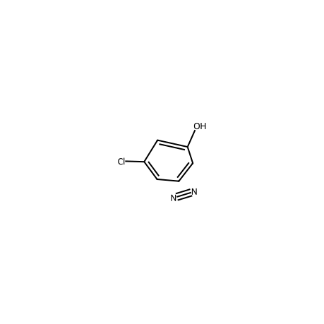 N#N.Oc1cccc(Cl)c1